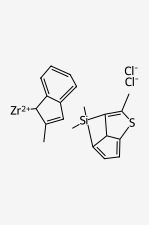 CC1=C2C3C(=CC=C3[Si]2(C)C)S1.CC1=Cc2ccccc2[CH]1[Zr+2].[Cl-].[Cl-]